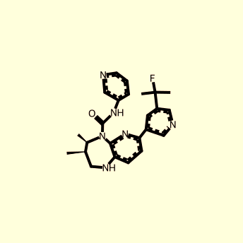 C[C@@H]1CNc2ccc(-c3cncc(C(C)(C)F)c3)nc2N(C(=O)Nc2cccnc2)[C@@H]1C